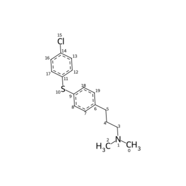 CN(C)CCCc1ccc(Sc2ccc(Cl)cc2)cc1